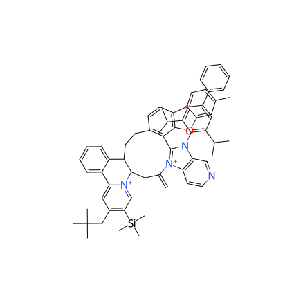 C=C1CC2C(CCc3ccc4c(oc5cc(C)ccc54)c3-c3n(-c4c(C(C)C)cc(-c5ccccc5)cc4C(C)C)c4cnccc4[n+]31)c1ccccc1-c1cc(CC(C)(C)C)c([Si](C)(C)C)c[n+]12